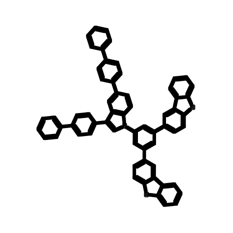 c1ccc(-c2ccc(-c3ccc4c(c3)c(-c3ccc(-c5ccccc5)cc3)cn4-c3cc(-c4ccc5oc6ccccc6c5c4)cc(-c4ccc5oc6ccccc6c5c4)c3)cc2)cc1